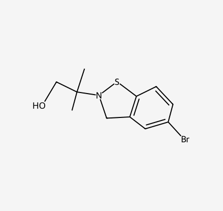 CC(C)(CO)N1Cc2cc(Br)ccc2S1